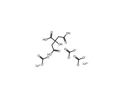 O=C(O)CC(O)(CC(=O)O)C(=O)O.O=C([O-])[O-].O=C([O-])[O-].O=C([O-])[O-].[La+3].[La+3]